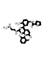 CNCCNc1nc(-c2cc(NC(=O)c3cccs3)ccc2C)c2ccc(=O)n(-c3c(F)cccc3F)c2n1